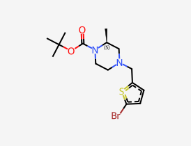 C[C@H]1CN(Cc2ccc(Br)s2)CCN1C(=O)OC(C)(C)C